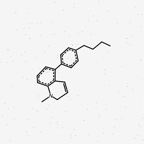 CCCCc1ccc(-c2cccc3c2C=CCN3C)cc1